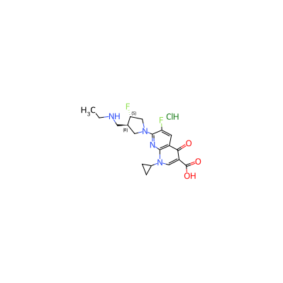 CCNC[C@@H]1CN(c2nc3c(cc2F)c(=O)c(C(=O)O)cn3C2CC2)C[C@H]1F.Cl